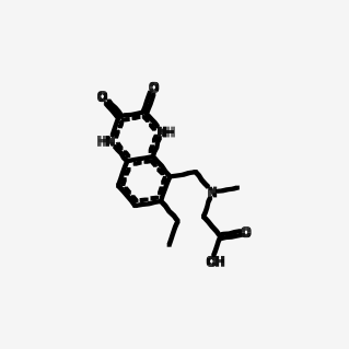 CCc1ccc2[nH]c(=O)c(=O)[nH]c2c1CN(C)CC(=O)O